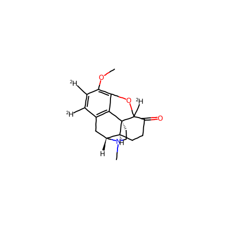 [2H]c1c([2H])c(OC)c2c3c1C[C@@H]1[C@@H]4CCC(=O)C([2H])(O2)[C@]34CCN1C